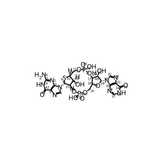 Nc1nc2c(ncn2[C@@H]2S[C@@H]3COP(=O)(O)O[C@@H]4C(COP(=O)(O)O[C@@H]2[C@@H]3O)O[C@@H](n2cnc3c(=O)[nH]cnc32)[C@@H]4O)c(=O)[nH]1